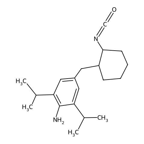 CC(C)c1cc(CC2CCCCC2N=C=O)cc(C(C)C)c1N